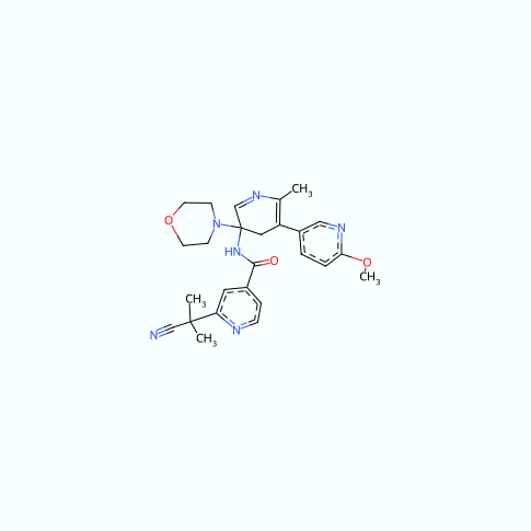 COc1ccc(C2=C(C)N=CC(NC(=O)c3ccnc(C(C)(C)C#N)c3)(N3CCOCC3)C2)cn1